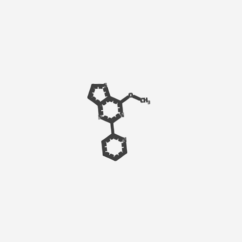 COc1nc(-c2ccccn2)nc2ccsc12